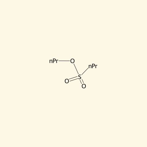 CCCOS(=O)(=O)CCC